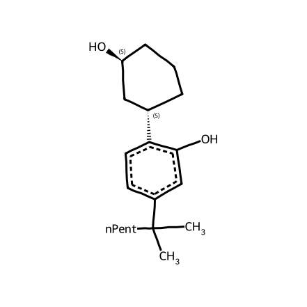 CCCCCC(C)(C)c1ccc([C@H]2CCC[C@H](O)C2)c(O)c1